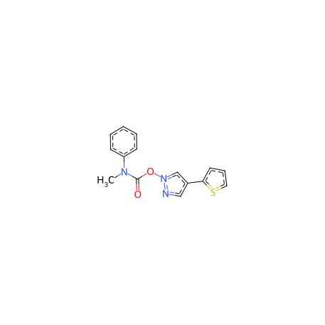 CN(C(=O)On1cc(-c2cccs2)cn1)c1ccccc1